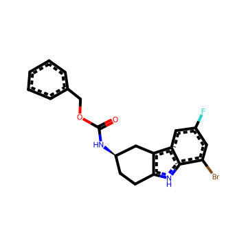 O=C(N[C@@H]1CCc2[nH]c3c(Br)cc(F)cc3c2C1)OCc1ccccc1